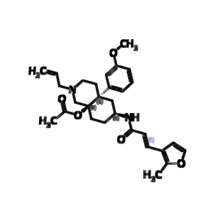 C=CCN1CC[C@@]2(c3cccc(OC)c3)C[C@@H](NC(=O)/C=C/c3ccoc3C)CC[C@]2(OC(C)=O)C1